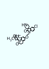 CC1(O)CC(N2C(=O)CCc3cc(OCCN4C(=O)C5(CCNCC5)c5cc(Cl)ccc54)cc(C(F)(F)F)c32)C1